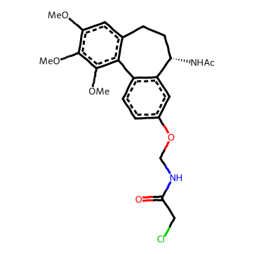 COc1cc2c(c(OC)c1OC)-c1ccc(OCNC(=O)CCl)cc1[C@@H](NC(C)=O)CC2